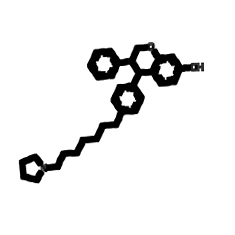 Oc1ccc2c(c1)OCC(c1ccccc1)C2c1ccc(CCCCCCCN2CCCC2)cc1